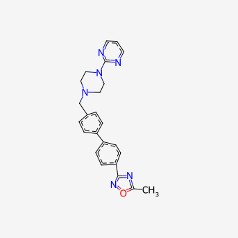 Cc1nc(-c2ccc(-c3ccc(CN4CCN(c5ncccn5)CC4)cc3)cc2)no1